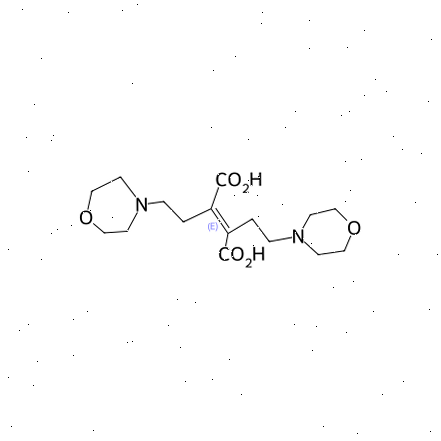 O=C(O)/C(CCN1CCOCC1)=C(\CCN1CCOCC1)C(=O)O